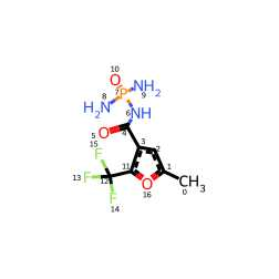 Cc1cc(C(=O)NP(N)(N)=O)c(C(F)(F)F)o1